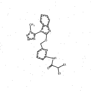 CCC(CC)C(=O)Nc1cccc(COc2nc3ccccc3n2-c2nnnn2C)n1